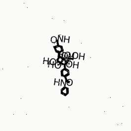 CNC(=O)c1ccc(C2C(O)[C@@]3(O)C(c4ccc(C(=O)Nc5ccccc5)cc4)[C@@](O)([C@H](O)CO)[C@@]23O)cc1